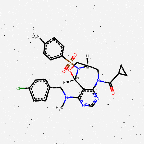 CN(Cc1ccc(Cl)cc1)c1ncnc2c1[C@@H]1OC[C@H](CN2C(=O)C2CC2)N1S(=O)(=O)c1ccc([N+](=O)[O-])cc1